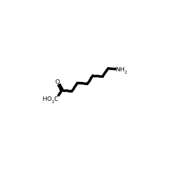 NCCCCCCC(=O)C(=O)O